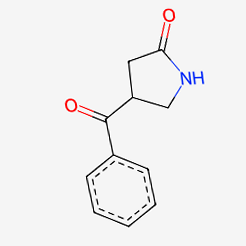 O=C1CC(C(=O)c2ccccc2)CN1